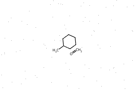 C=O.CC1CCCCC1